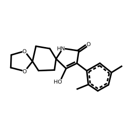 Cc1ccc(C)c(C2=C(O)C3(CCC4(CC3)OCCO4)NC2=O)c1